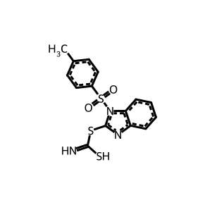 Cc1ccc(S(=O)(=O)n2c(SC(=N)S)nc3ccccc32)cc1